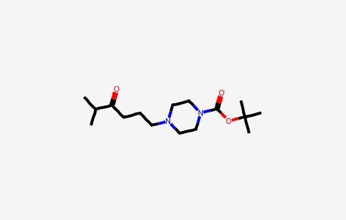 CC(C)C(=O)CCCN1CCN(C(=O)OC(C)(C)C)CC1